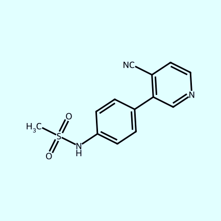 CS(=O)(=O)Nc1ccc(-c2cnccc2C#N)cc1